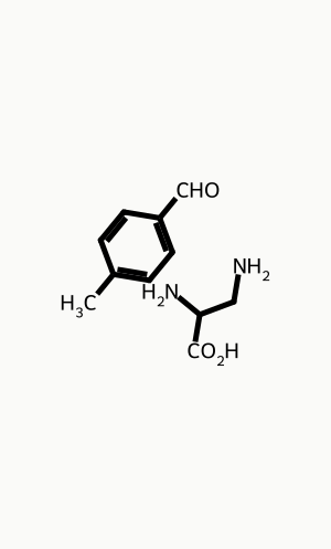 Cc1ccc(C=O)cc1.NCC(N)C(=O)O